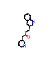 O=C(C=Cc1cnc2ccccc2c1)Cc1cccnc1